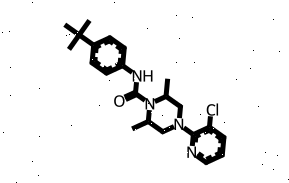 CC1CN(c2ncccc2Cl)CC(C)N1C(=O)Nc1ccc(C(C)(C)C)cc1